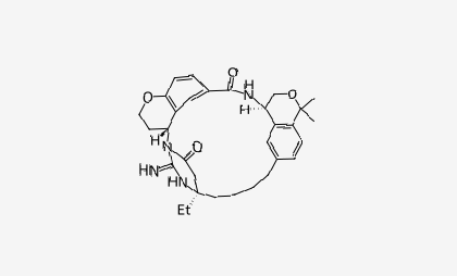 CC[C@]12CCCCc3ccc4c(c3)[C@H](COC4(C)C)NC(=O)c3ccc4c(c3)[C@@H](CCO4)N(C(=N)N1)C(=O)C2